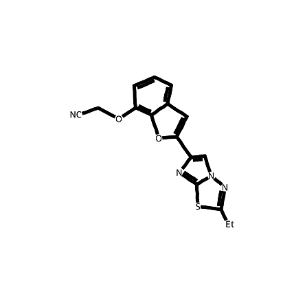 CCc1nn2cc(-c3cc4cccc(OCC#N)c4o3)nc2s1